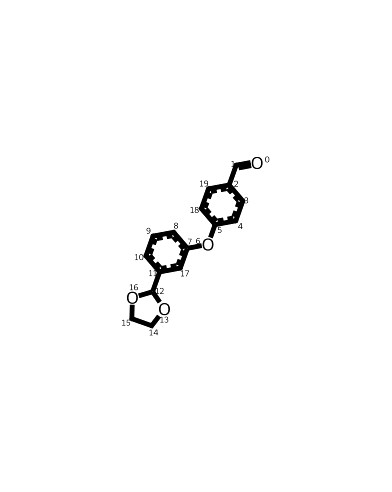 O=Cc1ccc(Oc2cccc(C3OCCO3)c2)cc1